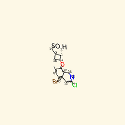 O=S(=O)(O)CC1CC(Oc2ccc(Br)c3cc(Cl)ncc23)C1